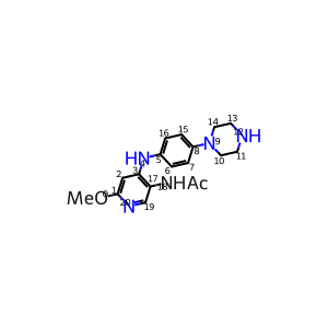 COc1cc(Nc2ccc(N3CCNCC3)cc2)c(NC(C)=O)cn1